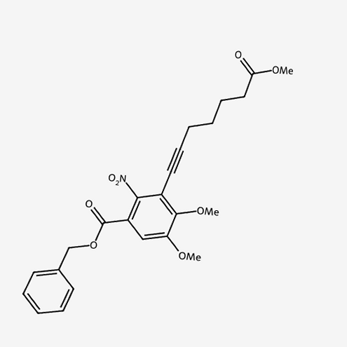 COC(=O)CCCCC#Cc1c(OC)c(OC)cc(C(=O)OCc2ccccc2)c1[N+](=O)[O-]